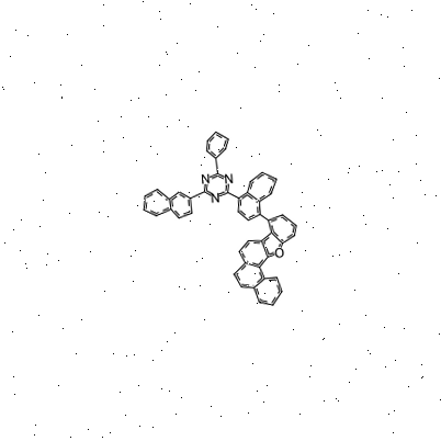 c1ccc(-c2nc(-c3ccc4ccccc4c3)nc(-c3ccc(-c4cccc5oc6c(ccc7ccc8ccccc8c76)c45)c4ccccc34)n2)cc1